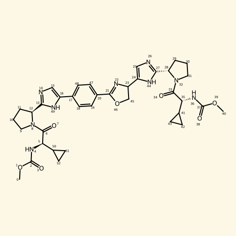 COC(=O)N[C@@H](C(=O)N1CCC[C@H]1c1ncc(-c2ccc(C3=NC(c4cnc([C@@H]5CCCN5C(=O)[C@H](NC(=O)OC)C5CC5)[nH]4)CO3)cc2)[nH]1)C1CC1